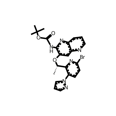 C[C@H](Oc1cc2ncccc2nc1NC(=O)OC(C)(C)C)c1nc(Br)ccc1-n1cccn1